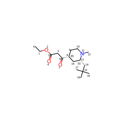 CCOC(=O)CC(=O)[C@@H]1CCN(C)[C@H](CC(C)(C)C)C1